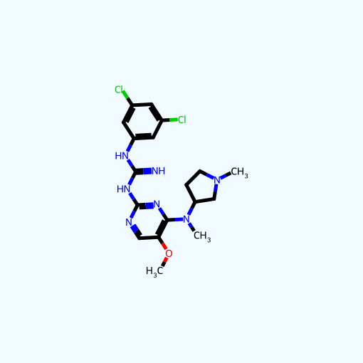 COc1cnc(NC(=N)Nc2cc(Cl)cc(Cl)c2)nc1N(C)C1CCN(C)C1